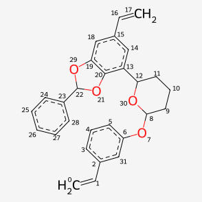 C=Cc1cccc(OC2CCCC(c3cc(C=C)cc4c3OC(c3ccccc3)O4)O2)c1